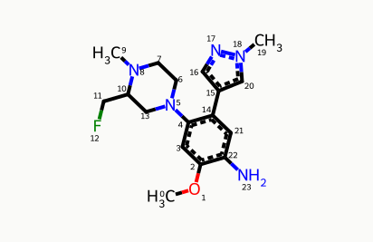 COc1cc(N2CCN(C)C(CF)C2)c(-c2cnn(C)c2)cc1N